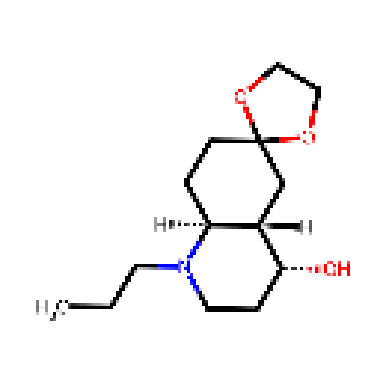 CCCN1CC[C@@H](O)[C@H]2CC3(CC[C@@H]21)OCCO3